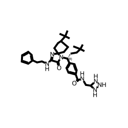 CC(C)(C)CC[C@H](c1ccc(C(=O)NCC2NNN2)cc1)N1C(=O)C(NCCc2ccccc2)=NC12CCC(C(C)(C)C)CC2